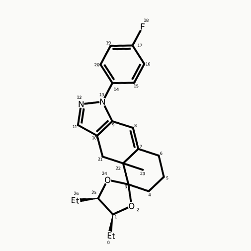 CC[C@@H]1OC2(CCCC3=Cc4c(cnn4-c4ccc(F)cc4)CC32C)O[C@@H]1CC